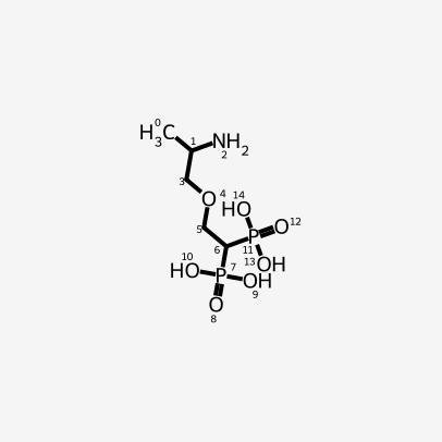 CC(N)COCC(P(=O)(O)O)P(=O)(O)O